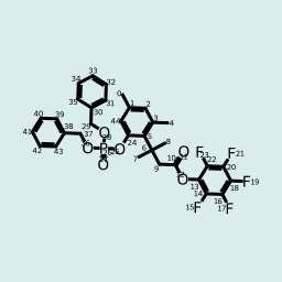 Cc1cc(C)c(C(C)(C)CC(=O)Oc2c(F)c(F)c(F)c(F)c2F)c(OP(=O)(OCc2ccccc2)OCc2ccccc2)c1